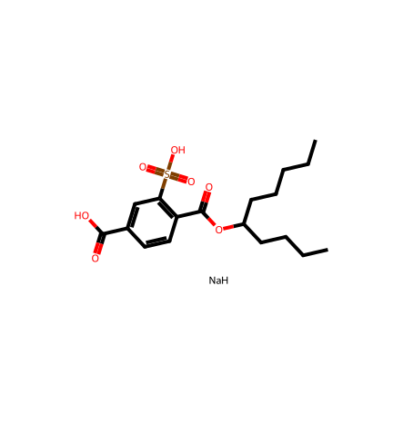 CCCCCC(CCCC)OC(=O)c1ccc(C(=O)O)cc1S(=O)(=O)O.[NaH]